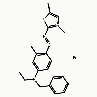 CCN(Cc1ccccc1)c1ccc(/N=N/c2sc(C)c[n+]2C)c(C)c1.[Br-]